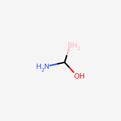 BC(N)O